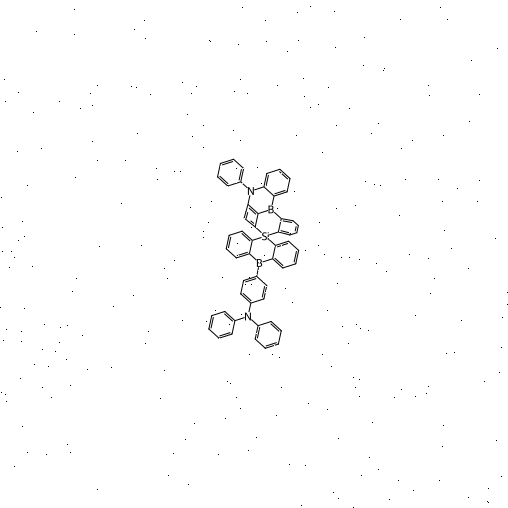 c1ccc(N(c2ccccc2)c2ccc(B3c4ccccc4[Si]4(c5ccccc53)c3ccccc3B3c5ccccc5N(c5ccccc5)c5cccc4c53)cc2)cc1